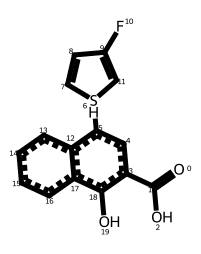 O=C(O)c1cc([SH]2C=CC(F)=C2)c2ccccc2c1O